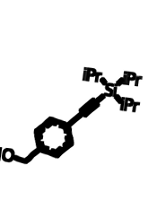 CC(C)[Si](C#Cc1ccc(CO)cc1)(C(C)C)C(C)C